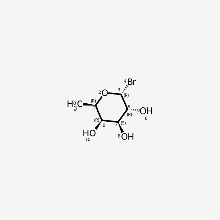 C[C@H]1O[C@H](Br)[C@H](O)[C@@H](O)[C@H]1O